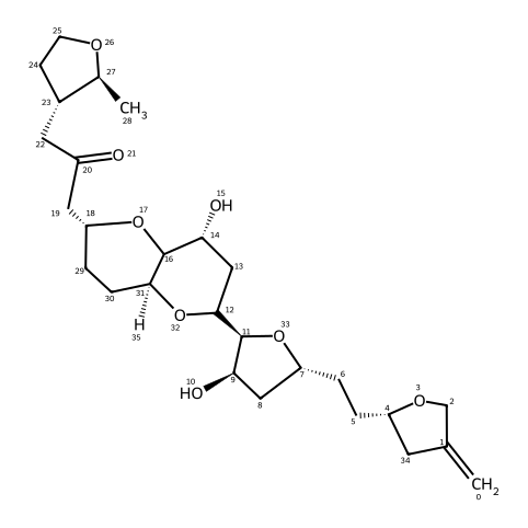 C=C1CO[C@@H](CC[C@@H]2C[C@@H](O)[C@@H](C3C[C@@H](O)C4O[C@@H](CC(=O)C[C@@H]5CCO[C@H]5C)CC[C@@H]4O3)O2)C1